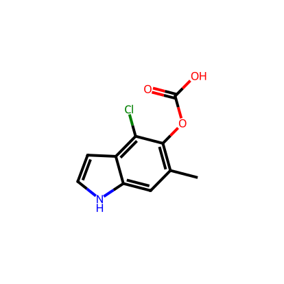 Cc1cc2[nH]ccc2c(Cl)c1OC(=O)O